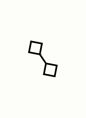 C1C[C](C2CCC2)C1